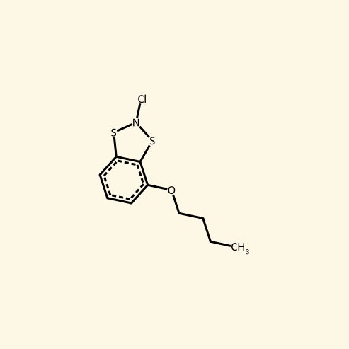 CCCCOc1cccc2c1SN(Cl)S2